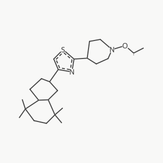 C[CH]ON1CCC(c2nc(C3CCC4C(C3)C(C)(C)CCC4(C)C)cs2)CC1